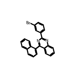 Brc1cccc(-c2nc(-c3cccc4ccccc34)c3ccccc3n2)c1